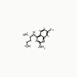 CCC[C@@H](CCO)Nc1nc(N)nc2cc(F)ccc12